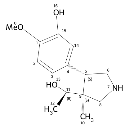 COc1ccc([C@@H]2CNC[C@@]2(C)[C@@H](C)O)cc1O